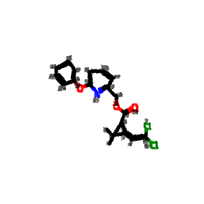 CC1(C)C(C=C(Cl)Cl)C1C(=O)OCc1cccc(Oc2ccccc2)n1